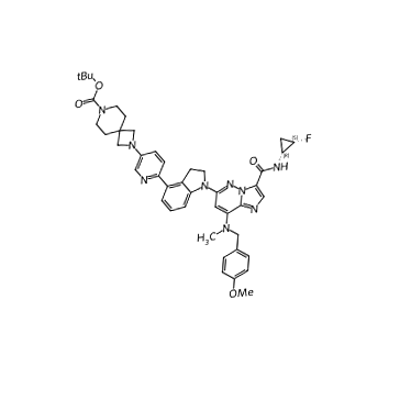 COc1ccc(CN(C)c2cc(N3CCc4c(-c5ccc(N6CC7(CCN(C(=O)OC(C)(C)C)CC7)C6)cn5)cccc43)nn3c(C(=O)N[C@@H]4C[C@@H]4F)cnc23)cc1